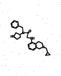 O=C(CNc1cccc2c1CCN(CC1CC1)C2)N(Cc1ccccc1)C1CCNC1